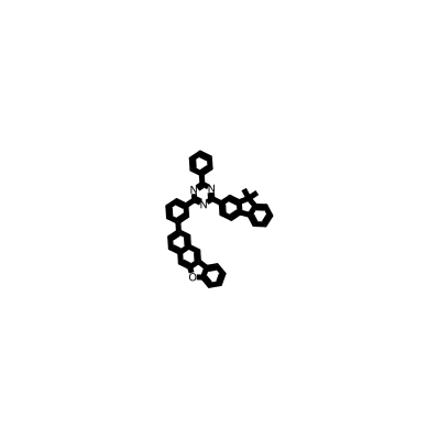 CC1(C)c2ccccc2-c2ccc(-c3nc(-c4ccccc4)nc(-c4cccc(-c5ccc6cc7oc8ccccc8c7cc6c5)c4)n3)cc21